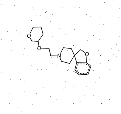 c1ccc2c(c1)OCC21CCN(CCOC2CCCOC2)CC1